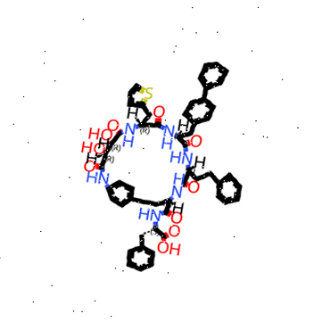 O=C(O)[C@H](Cc1ccccc1)NC(=O)[C@@H]1Cc2ccc(cc2)NC(=O)[C@H](O)[C@@H](O)C(=O)N[C@H](Cc2cccs2)C(=O)N[C@@H](Cc2ccc(-c3ccccc3)cc2)C(=O)N[C@H](CCc2ccccc2)C(=O)N1